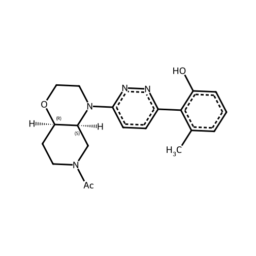 CC(=O)N1CC[C@H]2OCCN(c3ccc(-c4c(C)cccc4O)nn3)[C@H]2C1